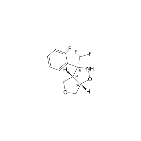 Fc1ccccc1[C@@]1(C(F)F)NO[C@@H]2COC[C@@H]21